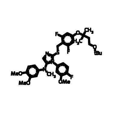 COc1cc(-n2c(N(C)c3ccc(OC)c(OC)c3)cnc2SCc2c(F)cc(OC(C)(C)CCOC(C)(C)C)cc2F)ccc1F